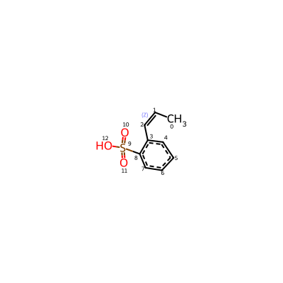 C/C=C\c1ccccc1S(=O)(=O)O